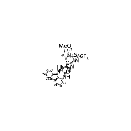 COC[C@H]1CCCN1c1sc(C(F)(F)F)nc1-c1nnc(N[C@H]2N=C(c3ccccc3)C3CC=CC=C3NC2=O)o1